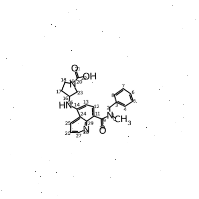 CN(Cc1ccccc1)C(=O)c1ccc(NC2CCN(C(=O)O)C2)c2cccnc12